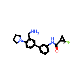 NCc1cc(-c2cccc(NC(=O)C3C[C@H]3F)c2)ccc1N1CCCC1